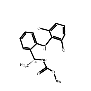 CC(C)(C)OC(=O)N[C@H](C(=O)O)c1ccccc1Nc1c(Cl)cccc1Cl